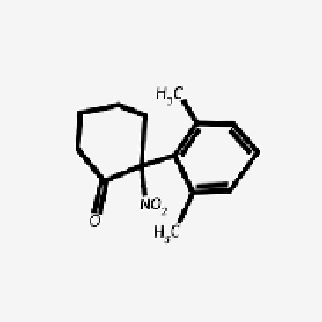 Cc1cccc(C)c1C1([N+](=O)[O-])CCCCC1=O